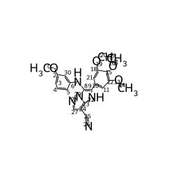 COc1cccc(Nc2c(-c3cc(OC)c(OC)c(OC)c3)[nH]c3c(C#N)cnn23)c1